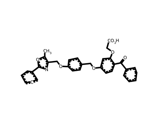 Cc1oc(-c2ccccc2)nc1COc1ccc(COc2ccc(C(=O)c3ccccc3)c(OCC(=O)O)c2)cc1